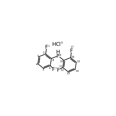 Cl.Fc1cccc(F)c1Pc1c(F)cccc1F